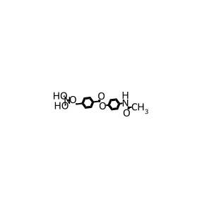 CC(=O)Nc1ccc(OC(=O)c2ccc(CON(O)O)cc2)cc1